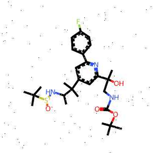 CC(N[S+]([O-])C(C)(C)C)C(C)(C)c1cc(-c2ccc(F)cc2)nc(C(C)(O)CNC(=O)OC(C)(C)C)c1